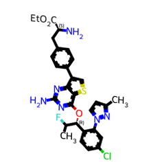 CCOC(=O)[C@@H](N)Cc1ccc(-c2csc3c(O[C@H](c4ccc(Cl)cc4-n4ccc(C)n4)C(C)F)nc(N)nc23)cc1